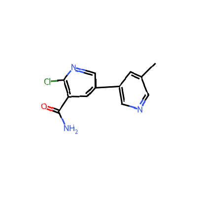 Cc1cncc(-c2cnc(Cl)c(C(N)=O)c2)c1